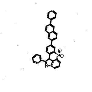 O=S1(=O)c2cc(-c3ccc4cc(-c5ccccc5)ccc4c3)ccc2C2C(c3ccccc3)=Nc3cccc1c32